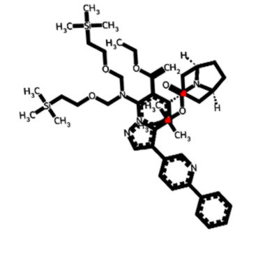 C=C(OCC)c1c([C@@H]2C[C@H]3CC[C@@H](C2)N3C(=O)OC(C)(C)C)nc2c(-c3ccc(-c4ccccc4)nc3)cnn2c1N(COCC[Si](C)(C)C)COCC[Si](C)(C)C